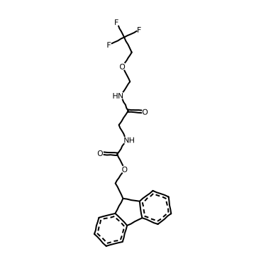 O=C(CNC(=O)OCC1c2ccccc2-c2ccccc21)NCOCC(F)(F)F